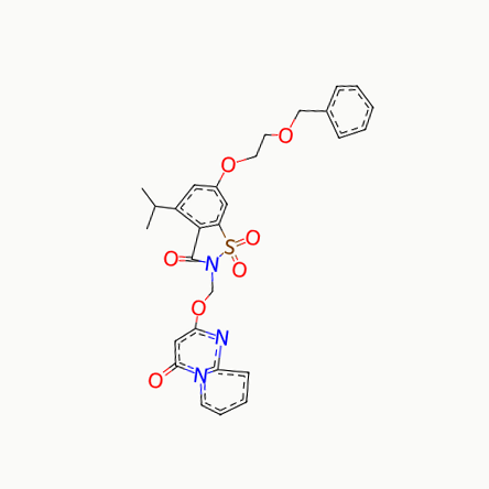 CC(C)c1cc(OCCOCc2ccccc2)cc2c1C(=O)N(COc1cc(=O)n3ccccc3n1)S2(=O)=O